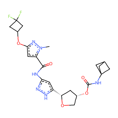 Cn1nc(OC2CC(F)(F)C2)cc1C(=O)Nc1cc([C@@H]2C[C@H](OC(=O)NC34CC(C3)C4)CO2)[nH]n1